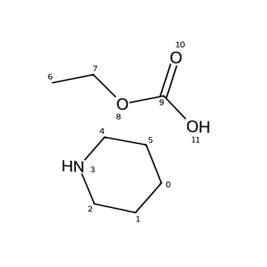 C1CCNCC1.CCOC(=O)O